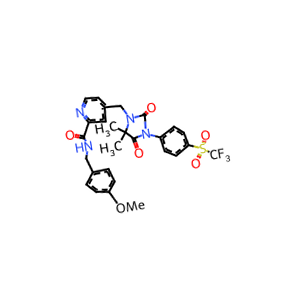 COc1ccc(CNC(=O)c2cc(CN3C(=O)N(c4ccc(S(=O)(=O)C(F)(F)F)cc4)C(=O)C3(C)C)ccn2)cc1